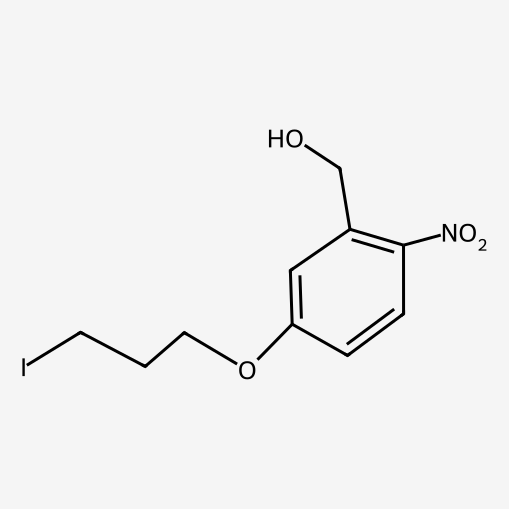 O=[N+]([O-])c1ccc(OCCCI)cc1CO